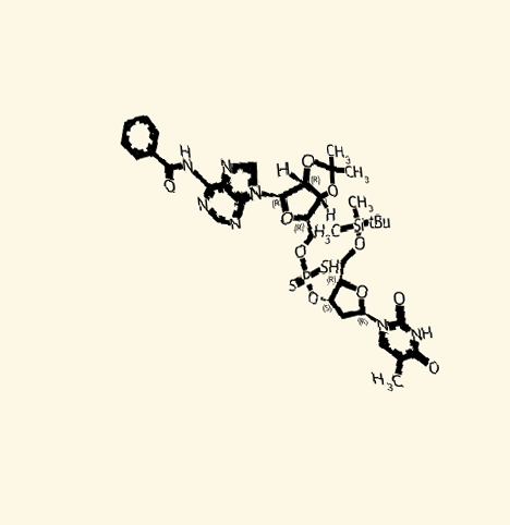 Cc1cn([C@H]2C[C@H](OP(=S)(S)OC[C@H]3O[C@@H](n4cnc5c(NC(=O)c6ccccc6)ncnc54)[C@@H]4OC(C)(C)O[C@@H]43)[C@@H](CO[Si](C)(C)C(C)(C)C)O2)c(=O)[nH]c1=O